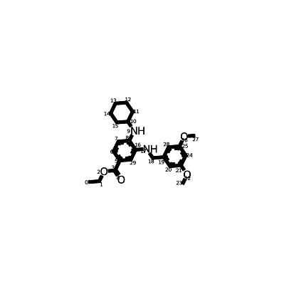 CCOC(=O)c1ccc(NC2CCCCC2)c(NCc2cc(OC)cc(OC)c2)c1